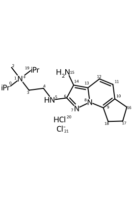 CC(C)[N+](C)(CCNc1nn2c3c(ccc2c1N)CCC3)C(C)C.Cl.[Cl-]